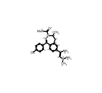 CNC(=O)N1N=C(c2ccc(Cl)cc2)c2ccc(/C(N)=C/N(C)N)cc2CC1C